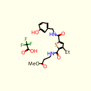 CCc1cc(C(=O)NCc2cccc(O)c2)sc1C(=O)NCCC(=O)OC.O=C(O)C(F)(F)F